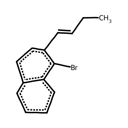 CCC=Cc1ccc2ccccc2c1Br